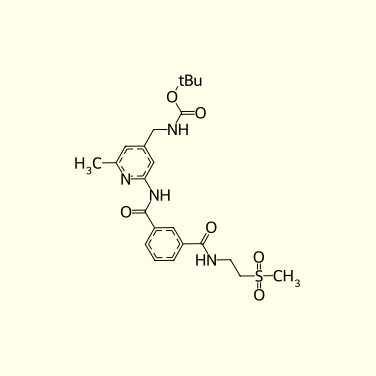 Cc1cc(CNC(=O)OC(C)(C)C)cc(NC(=O)c2cccc(C(=O)NCCS(C)(=O)=O)c2)n1